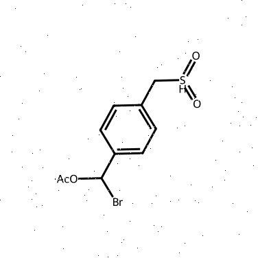 CC(=O)OC(Br)c1ccc(C[SH](=O)=O)cc1